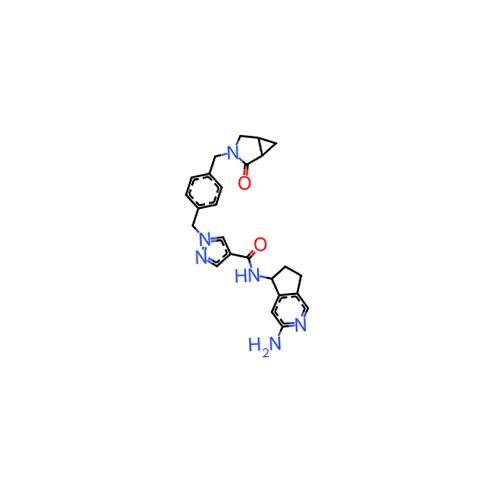 Nc1cc2c(cn1)CCC2NC(=O)c1cnn(Cc2ccc(CN3CC4CC4C3=O)cc2)c1